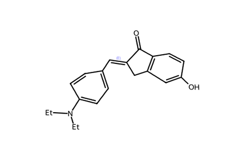 CCN(CC)c1ccc(/C=C2\Cc3cc(O)ccc3C2=O)cc1